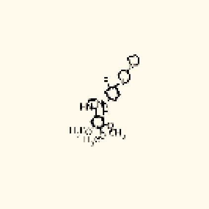 COc1cc(C2NC=CN2Nc2ccc(N3CCC(N4CCCC4)CC3)c(F)c2)cc(OC)c1OC